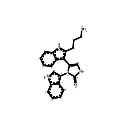 NCCCc1[nH]c2ccccc2c1C1=C[N]C(=O)N1c1c[nH]c2ccccc12